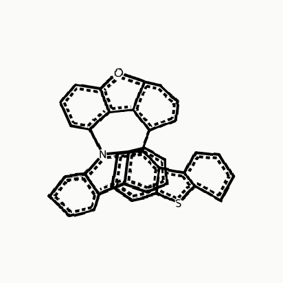 c1cc(-c2cccc3sc4ccccc4c23)c2c(c1)oc1cccc(-n3c4ccccc4c4ccccc43)c12